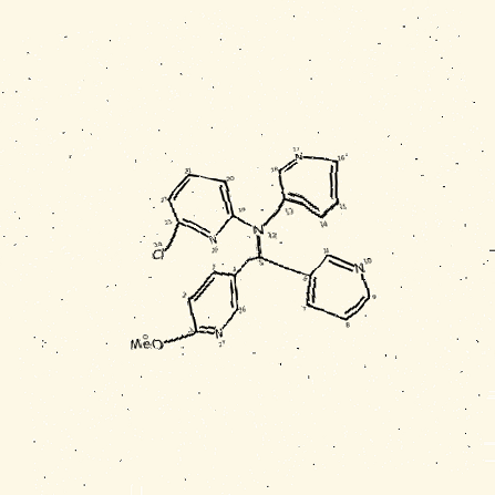 COc1ccc(C(c2cccnc2)N(c2cccnc2)c2cccc(Cl)n2)cn1